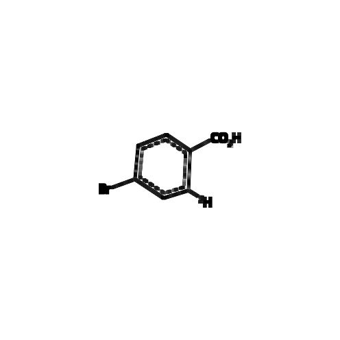 [2H]c1cc(Br)ccc1C(=O)O